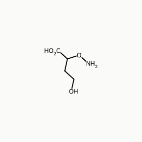 NOC(CCO)C(=O)O